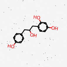 Oc1ccc(CC(O)Cc2ccc(O)cc2O)cc1